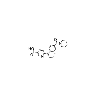 O=C(O)c1ccc(N2CCOc3cc(C(=O)N4CCCCC4)ccc32)nc1